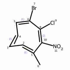 CC1=C\C=C\C=C(Br)/C(Cl)=C\1[N+](=O)[O-]